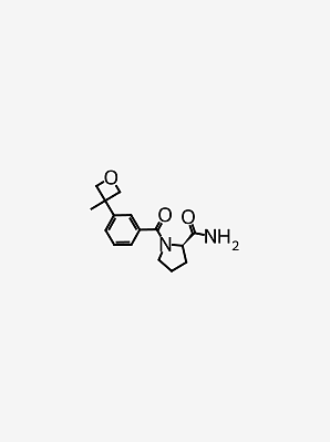 CC1(c2cccc(C(=O)N3CCC[C@@H]3C(N)=O)c2)COC1